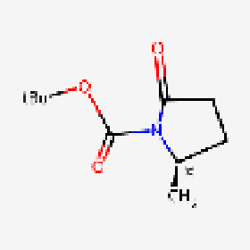 C[C@@H]1CCC(=O)N1C(=O)OC(C)(C)C